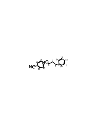 N#Cc1cc[n+](OCCCc2ccccc2)cc1